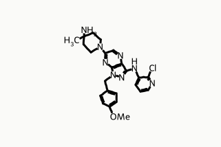 COc1ccc(Cn2nc(Nc3cccnc3Cl)c3ncc(N4CCC(C)(N)CC4)nc32)cc1